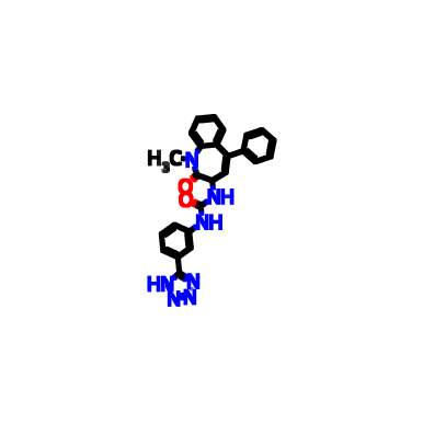 CN1C(=O)C(NC(=O)Nc2cccc(-c3nnn[nH]3)c2)C=C(c2ccccc2)c2ccccc21